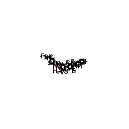 CC(C)n1c(=O)c(-c2cc(F)c(NS(=O)(=O)Cc3ccc(F)cc3)c(F)c2F)cc2cnc(N[C@H]3CC[C@H](N(C)CCF)CC3)nc21